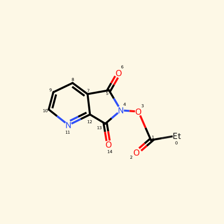 CCC(=O)ON1C(=O)c2cccnc2C1=O